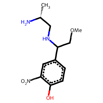 COCC(NC[C@@H](C)N)c1ccc(O)c([N+](=O)[O-])c1